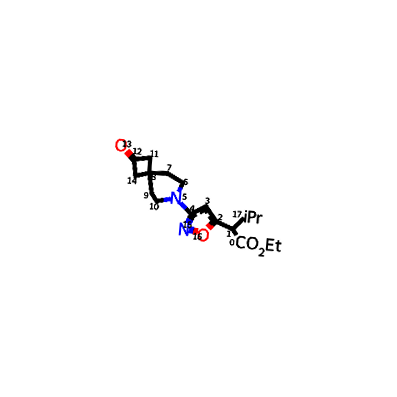 CCOC(=O)C(c1cc(N2CCC3(CC2)CC(=O)C3)no1)C(C)C